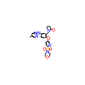 Cc1ccc(Nc2ccc(Oc3ccc(S(=O)(=O)N4CCOCC4)nc3)c(CN3CCCC3=O)c2)nc1